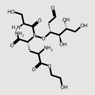 NC(=O)[C@@H](CC(N)C(=O)OCCO)N(O[C@H](CC=O)[C@H](O)[C@H](O)CO)C(=O)[C@@H](N)CO